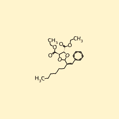 CCCCCCC(=Cc1ccccc1)C1O[C@@H](C(=O)OCC)[C@H](C(=O)OCC)O1